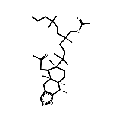 CCCC(C)(C)CC[C@@](C)(CCC(C)(C)[C@]1(C)CC[C@H]2[C@H](C)c3oncc3C[C@]2(C)C1CC(C)=O)COC(C)=O